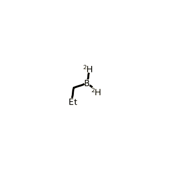 [2H]B([2H])CCC